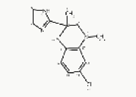 CN1CC(C)(C2=NCCN2)Sc2ccc(Cl)cc21